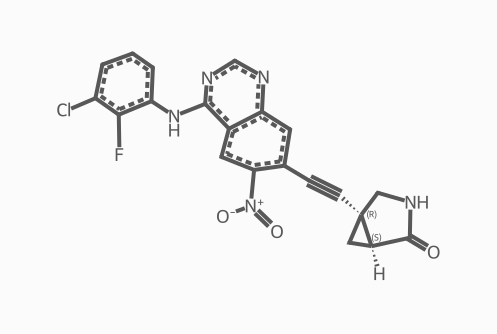 O=C1NC[C@]2(C#Cc3cc4ncnc(Nc5cccc(Cl)c5F)c4cc3[N+](=O)[O-])C[C@H]12